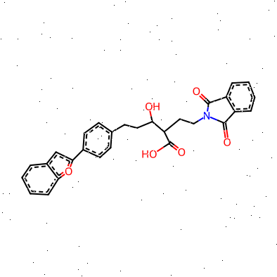 O=C(O)C(CCN1C(=O)c2ccccc2C1=O)C(O)CCc1ccc(-c2cc3ccccc3o2)cc1